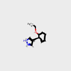 CCOc1c[c]ccc1-c1cn[nH]c1